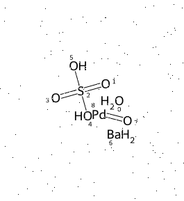 O.O=S(=O)(O)O.[BaH2].[O]=[Pd]